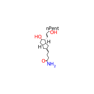 CCCCC[C@H](O)/C=C/[C@@H]1[C@H]2C/C(=C/CCC(N)=O)C[C@H]2C[C@H]1O